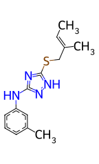 CC=C(C)CSc1nc(Nc2cccc(C)c2)n[nH]1